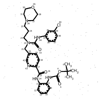 CC(C)(C)OC(=O)Nc1ccccc1NC(=O)c1ccc(CN(CCCN2CCOCC2)C(=O)Nc2cccc(Cl)c2)cn1